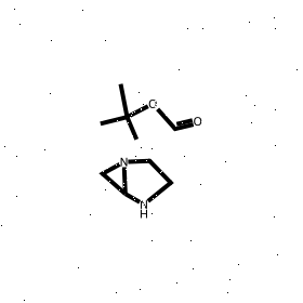 C1CN2CC2N1.CC(C)(C)OC=O